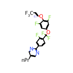 CCCc1cnc(-c2ccc(C(F)(F)Oc3cc(F)c(O/C=C/C(F)(F)F)c(F)c3)c(F)c2)nc1